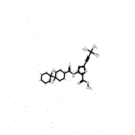 COC(=O)c1sc(C#CC(C)(C)C)cc1NC(=O)C1CCC(C)(C2(O)CCCCC2)CC1